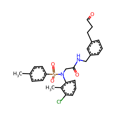 Cc1ccc(S(=O)(=O)N(CC(=O)NCc2cccc(CCC=O)c2)c2cccc(Cl)c2C)cc1